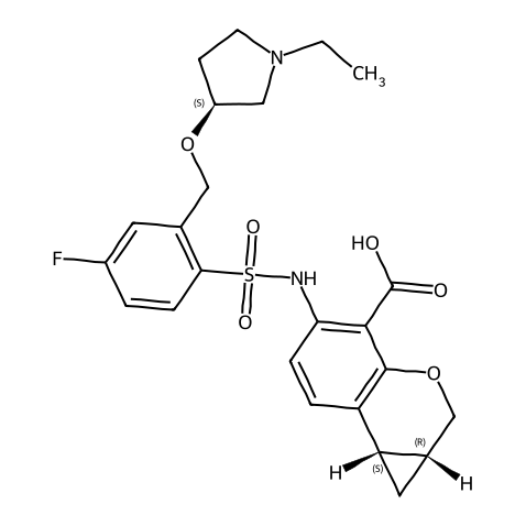 CCN1CC[C@H](OCc2cc(F)ccc2S(=O)(=O)Nc2ccc3c(c2C(=O)O)OC[C@@H]2C[C@H]32)C1